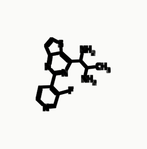 CC(N)C(N)c1nc(-c2ccncc2F)nc2ccsc12